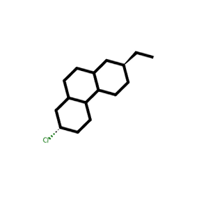 CC[C@H]1CCC2C(CCC3C[C@@H](Cl)CCC32)C1